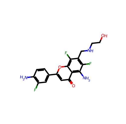 Nc1ccc(-c2cc(=O)c3c(N)c(F)c(CNCCO)c(F)c3o2)cc1F